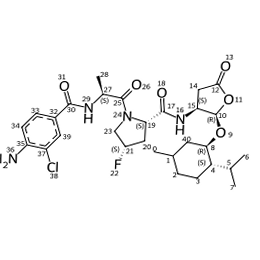 CC1CC[C@@H](C(C)C)[C@H](O[C@@H]2OC(=O)C[C@@H]2NC(=O)[C@@H]2C[C@H](F)CN2C(=O)[C@H](C)NC(=O)c2ccc(N)c(Cl)c2)C1